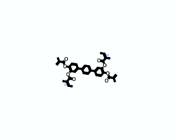 C=C(C)C(=O)Oc1ccc(-c2ccc(-c3ccc(OC(=O)C(=C)C)c(OC(=O)/C(C)=C\C)c3)cc2)cc1OC(=O)/C(C)=C\C